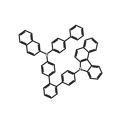 c1ccc(-c2ccc(N(c3ccc(-c4ccccc4-c4ccc(-n5c6ccccc6c6c7ccccc7ccc65)cc4)cc3)c3ccc4ccccc4c3)cc2)cc1